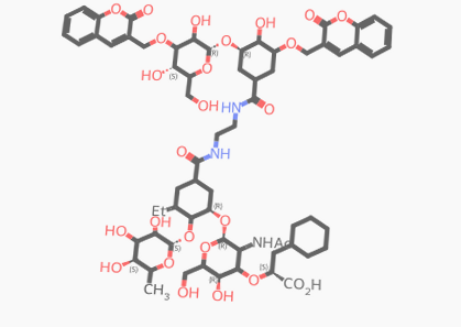 CCC1CC(C(=O)NCCNC(=O)C2CC(OCc3cc4ccccc4oc3=O)C(O)[C@H](O[C@@H]3OC(CO)[C@H](O)C(OCc4cc5ccccc5oc4=O)C3O)C2)C[C@@H](O[C@@H]2OC(CO)[C@H](O)C(O[C@@H](CC3CCCCC3)C(=O)O)C2NC(C)=O)C1O[C@@H]1OC(C)[C@@H](O)C(O)C1O